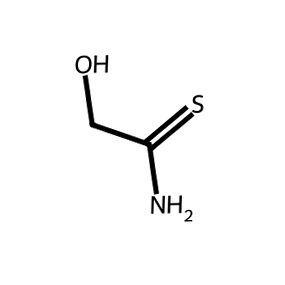 NC(=S)CO